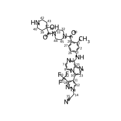 Cc1cc(Nc2nccn3c(-c4cn(CC#N)nc4C(F)(F)F)cnc23)ccc1C(=O)N1CCN(C(=O)C2(O)CCNCC2)CC1